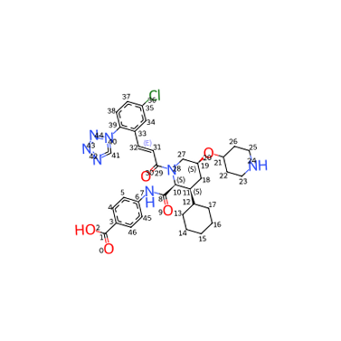 O=C(O)c1ccc(NC(=O)[C@@H]2[C@H](C3CCCCC3)C[C@H](OC3CCNCC3)CN2C(=O)/C=C/c2cc(Cl)ccc2-n2cnnn2)cc1